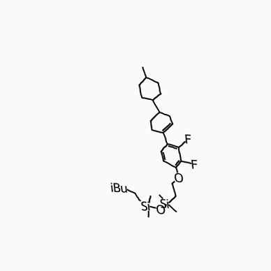 CCC(C)CC[Si](C)(C)O[Si](C)(C)CCOc1ccc(C2=CCC(C3CCC(C)CC3)CC2)c(F)c1F